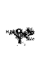 C=C1/C=C\C=C/CN/C=C\1C[C@H](NC(=O)[C@H](CCCCN)NC(=O)[C@@H](C)CCCNC(=N)N)C(=O)N[C@@H](CCSC)C(=O)N[C@@H](Cc1ccccc1)C(=O)N[C@@H](C)C(N)=O